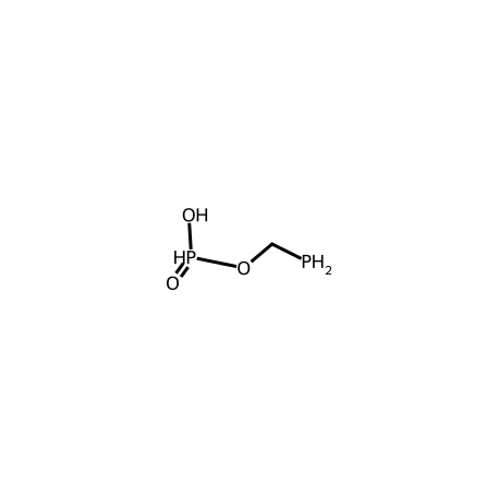 O=[PH](O)OCP